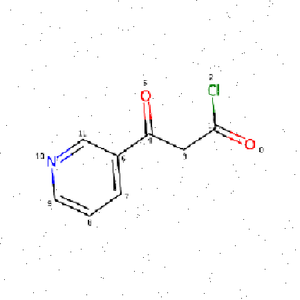 O=C(Cl)CC(=O)c1cccnc1